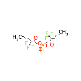 CCCCC(C(=O)CO[PH](=O)OCC(=O)C(CCCC)C(F)(F)F)C(F)(F)F